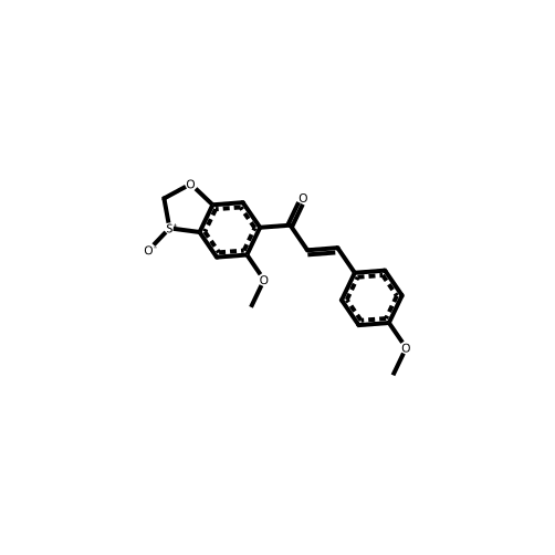 COc1ccc(C=CC(=O)c2cc3c(cc2OC)[S+]([O-])CO3)cc1